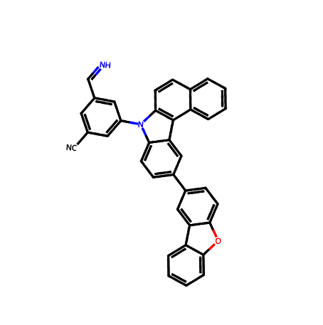 N#Cc1cc(C=N)cc(-n2c3ccc(-c4ccc5oc6ccccc6c5c4)cc3c3c4ccccc4ccc32)c1